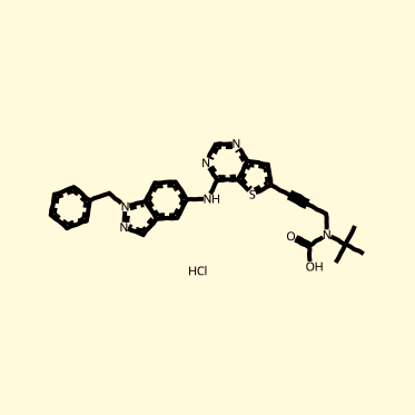 CC(C)(C)N(CC#Cc1cc2ncnc(Nc3ccc4c(cnn4Cc4ccccc4)c3)c2s1)C(=O)O.Cl